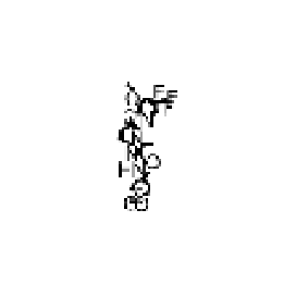 CCOc1cc(C(F)(F)F)cnc1Oc1ccc2nc(C(=O)NC3(C)CCS(=O)(=O)CC3)c(C)n2c1